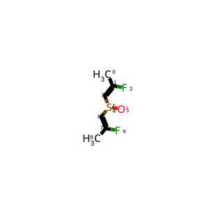 CC(F)=C[S+]([O-])C=C(C)F